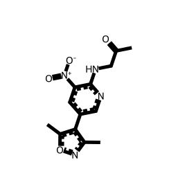 CC(=O)CNc1ncc(-c2c(C)noc2C)cc1[N+](=O)[O-]